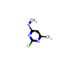 C=Nc1cc(C(F)(F)F)nc(Cl)n1